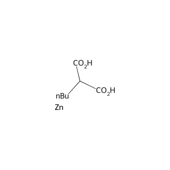 CCCCC(C(=O)O)C(=O)O.[Zn]